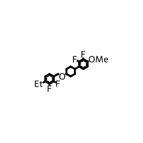 CCc1ccc(COC2CCC(c3ccc(OC)c(F)c3F)CC2)c(F)c1F